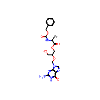 CC(C)C(NC(=O)OCc1ccccc1)C(=O)OCC(CO)OCn1cnc2c(=O)[nH]c(N)nc21